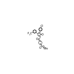 CC(C)(C)OC(=O)N1CCN(C(=O)CN2CC(c3cccc(C(F)(F)F)c3)N(c3ccc(Cl)cc3)C2=O)CC1